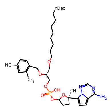 CCCCCCCCCCCCCCCCCCOC[C@H](COP(=O)(O)O[C@@H]1CC[C@](C#N)(c2ccc3c(N)ncnn23)O1)OCc1ccc(C#N)cc1C(F)(F)F